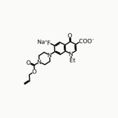 C=CCOC(=O)N1CCN(c2cc3c(cc2F)c(=O)c(C(=O)[O-])cn3CC)CC1.[Na+]